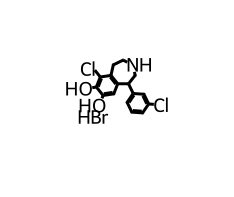 Br.Oc1cc2c(c(Cl)c1O)CCNCC2c1cccc(Cl)c1